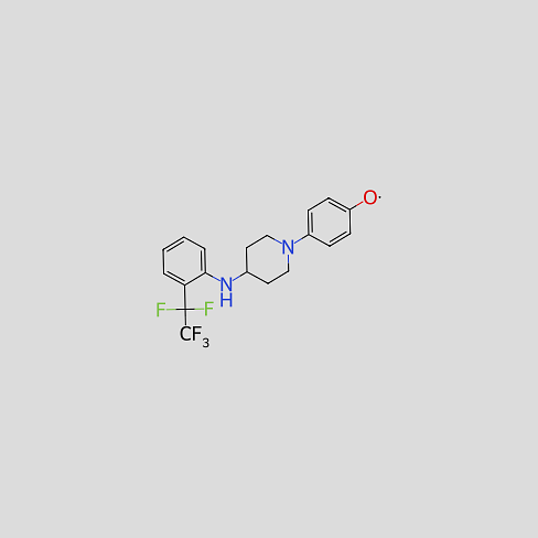 [O]c1ccc(N2CCC(Nc3ccccc3C(F)(F)C(F)(F)F)CC2)cc1